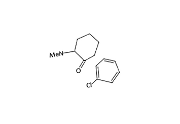 CNC1CCCCC1=O.Clc1ccccc1